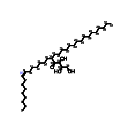 CCCCCCCC/C=C\CCCCCCC(CCCCCCCCCCCCCCCC)C(=O)C(O)C(O)CO